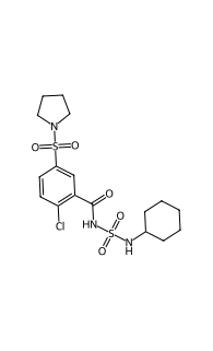 O=C(NS(=O)(=O)NC1CCCCC1)c1cc(S(=O)(=O)N2CCCC2)ccc1Cl